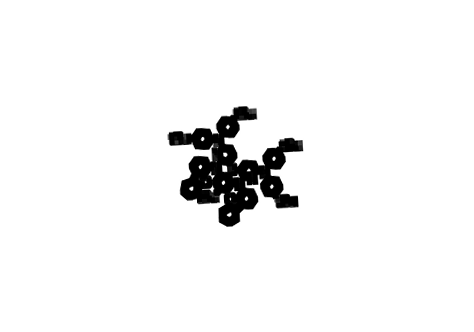 CC(C)(C)c1ccc(N(c2ccc(C(C)(C)C)cc2)c2ccc3c(n2)N(c2cccc4c2oc2ccccc24)c2cc(C(C)(C)C)cc4c2B3c2ccc(N(c3ccc(C(C)(C)C)cc3)c3ccc(C(C)(C)C)cc3)nc2N4c2cccc3c2oc2ccccc23)cc1